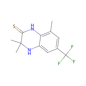 Cc1cc(C(F)(F)F)cc2c1NC(=S)C(C)(C)N2